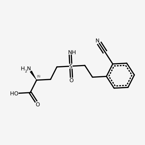 N#Cc1ccccc1CCS(=N)(=O)CC[C@H](N)C(=O)O